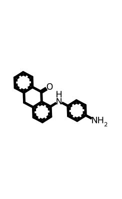 Nc1ccc(Nc2cccc3c2C(=O)c2ccccc2C3)cc1